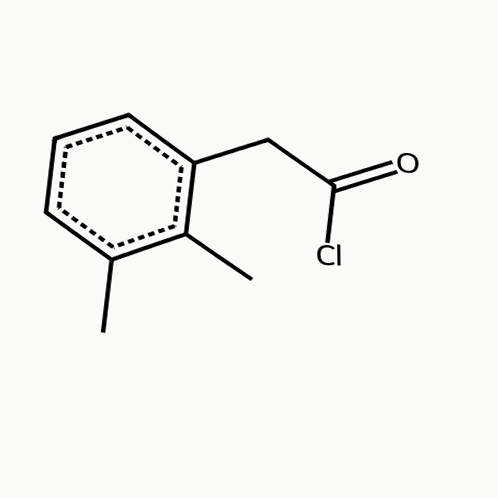 Cc1cccc(CC(=O)Cl)c1C